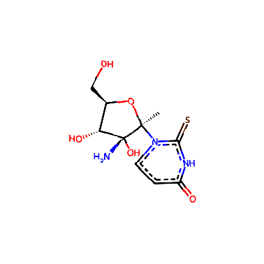 C[C@@]1(n2ccc(=O)[nH]c2=S)O[C@H](CO)[C@@H](O)[C@@]1(N)O